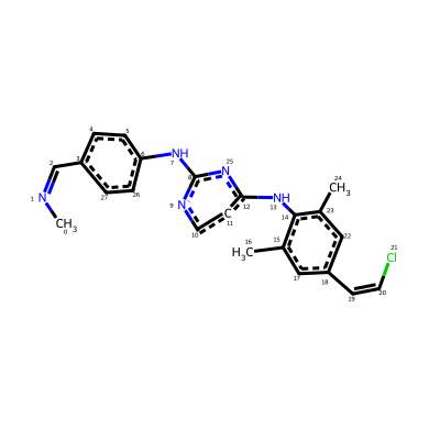 C/N=C\c1ccc(Nc2nccc(Nc3c(C)cc(/C=C\Cl)cc3C)n2)cc1